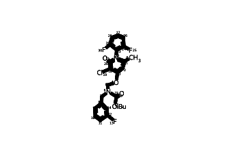 Cc1cc(OCN(Cc2cccc(F)c2)C(=O)OCC(C)C)c(Cl)c(=O)n1-c1c(F)cccc1F